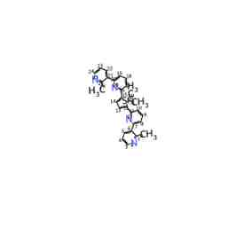 Cc1ncccc1-c1cccc(C2=CC=C(c3cccc(-c4cccnc4C)n3)[Si]2(C)C)n1